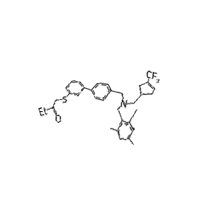 CCC(=O)CSc1cccc(-c2ccc(CN(CC3=CC=C(C(F)(F)F)C3)Cc3c(C)cc(C)cc3C)cc2)c1